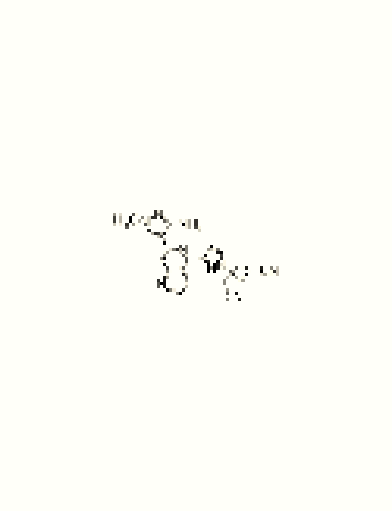 Cn1cc(-c2cc3ncccc3c(-c3ccn(C4(CC#N)CC(C#N)C4)n3)n2)c(N)n1